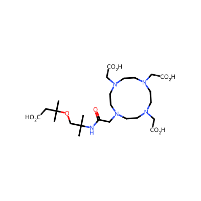 CC(C)(COC(C)(C)CC(=O)O)NC(=O)CN1CCN(CC(=O)O)CCN(CC(=O)O)CCN(CC(=O)O)CC1